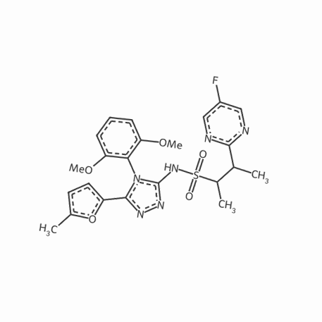 COc1cccc(OC)c1-n1c(NS(=O)(=O)C(C)C(C)c2ncc(F)cn2)nnc1-c1ccc(C)o1